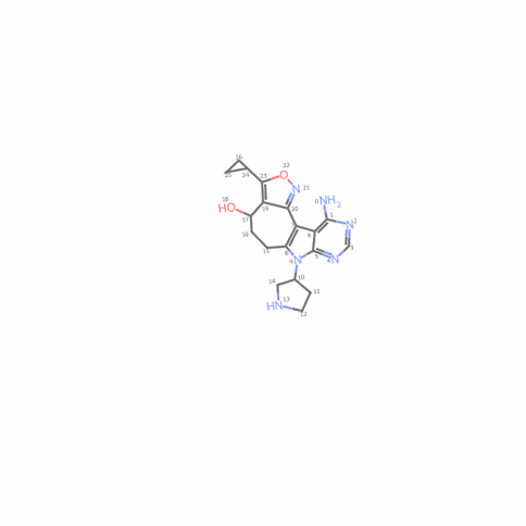 Nc1ncnc2c1c1c(n2C2CCNC2)CCC(O)c2c-1noc2C1CC1